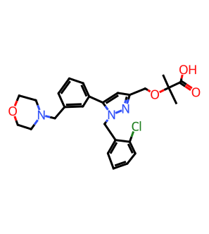 CC(C)(OCc1cc(-c2cccc(CN3CCOCC3)c2)n(Cc2ccccc2Cl)n1)C(=O)O